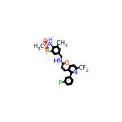 Cc1cc(CNC(=O)/C=C\c2ccc(C(F)(F)F)nc2-c2cccc(F)c2)cc(F)c1NS(C)(=O)=O